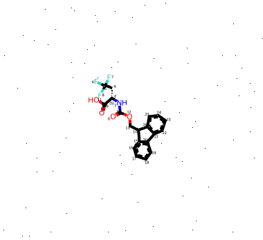 O=C(N[C@@H](CC(F)(F)F)C(=O)O)OCC1c2ccccc2-c2ccccc21